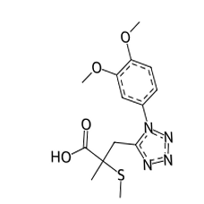 COc1ccc(-n2nnnc2CC(C)(SC)C(=O)O)cc1OC